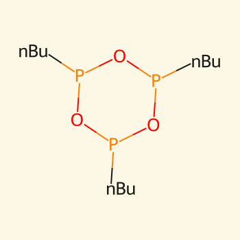 CCCCP1OP(CCCC)OP(CCCC)O1